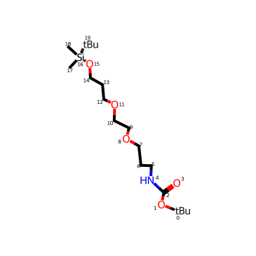 CC(C)(C)OC(=O)NCCCOCCOCCCO[Si](C)(C)C(C)(C)C